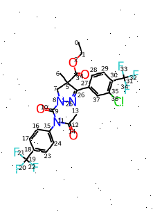 CCOC(=O)C1(C)CN(C(=O)N(C(C)=O)c2ccc(C(F)(F)F)cc2)N=C1c1ccc(C(F)(F)F)c(Cl)c1